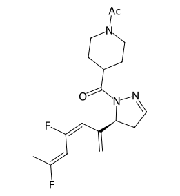 C=C(/C=C(F)\C=C(/C)F)[C@@H]1CC=NN1C(=O)C1CCN(C(C)=O)CC1